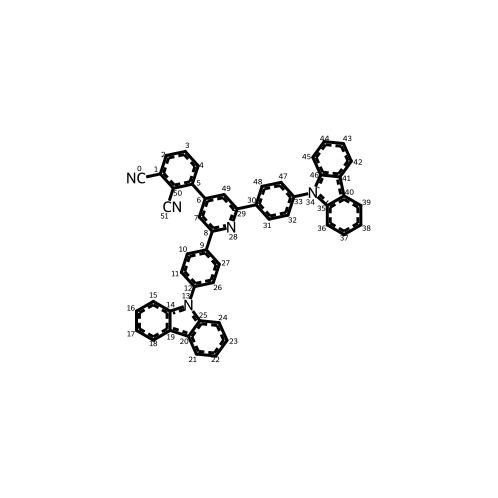 N#Cc1cccc(-c2cc(-c3ccc(-n4c5ccccc5c5ccccc54)cc3)nc(-c3ccc(-n4c5ccccc5c5ccccc54)cc3)c2)c1C#N